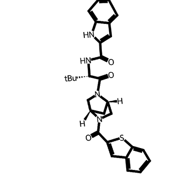 CC(C)(C)[C@H](NC(=O)c1cc2ccccc2[nH]1)C(=O)N1C[C@@H]2C[C@H]1CN2C(=O)c1cc2ccccc2s1